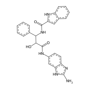 Nc1nc2ccc(NC(=O)C(O)C(NC(=O)c3cc4ccccc4[nH]3)c3ccccc3)cc2[nH]1